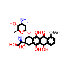 COc1cccc2c1C(=O)c1c(O)c3c(c(O)c1C2O)C[C@@](O)(C(=N)CO)C[C@@H]3O[C@H]1C[C@@H](N)[C@@H](O)[C@H](C)O1